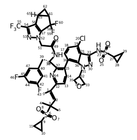 CC(=CC(C)(C)S(=O)(=O)C1CC1)c1ccc(-c2ccc(Cl)c3c(NS(=O)(=O)C4CC4)nn(C4COC4)c23)c([C@H](Cc2cc(F)cc(F)c2)NC(=O)Cn2nc(C(F)(F)F)c3c2C(F)(F)C2C[C@H]32)n1